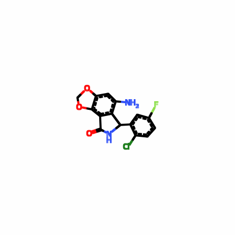 Nc1cc2c(c3c1C(c1cc(F)ccc1Cl)NC3=O)OCO2